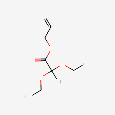 C=CCOC(=O)C(C)(OCC)OCC